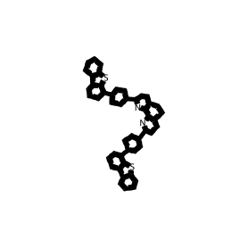 c1ccc2c(c1)sc1c(-c3ccc(-c4ccc5ccc6ccc(-c7ccc(-c8cccc9c8sc8ccccc89)cc7)nc6c5n4)cc3)cccc12